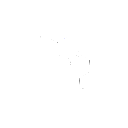 CCOC(=O)C(N)Cc1cccc(C(F)(F)F)c1